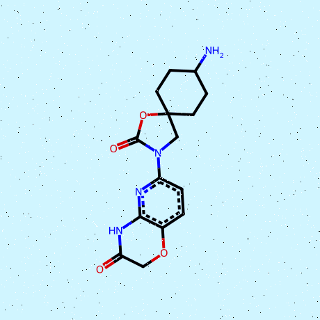 NC1CCC2(CC1)CN(c1ccc3c(n1)NC(=O)CO3)C(=O)O2